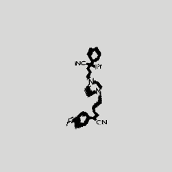 CC(C)C(C#N)(CCCN1CCN(CCCC(C#N)c2ccc(F)cc2)CC1)c1ccccc1